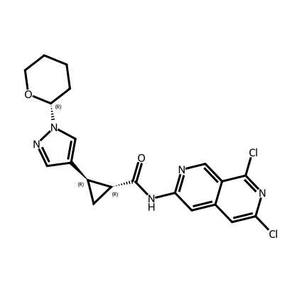 O=C(Nc1cc2cc(Cl)nc(Cl)c2cn1)[C@@H]1C[C@H]1c1cnn([C@H]2CCCCO2)c1